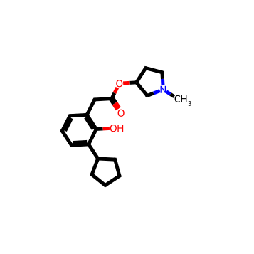 CN1CCC(OC(=O)Cc2cccc(C3CCCC3)c2O)C1